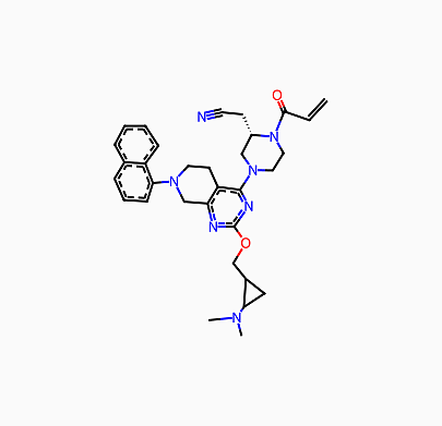 C=CC(=O)N1CCN(c2nc(OCC3CC3N(C)C)nc3c2CCN(c2cccc4ccccc24)C3)C[C@@H]1CC#N